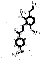 CCCc1ccc(OC)c(/C=C/C(=O)c2ccc(NC)cc2)c1OC